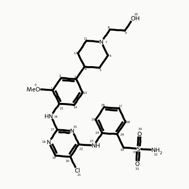 COc1cc(C2CCN(CCO)CC2)ccc1Nc1ncc(Cl)c(Nc2ccccc2CS(N)(=O)=O)n1